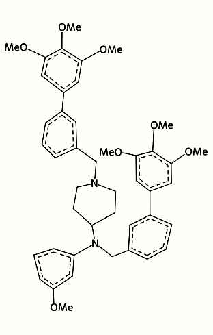 COc1cccc(N(Cc2cccc(-c3cc(OC)c(OC)c(OC)c3)c2)C2CCN(Cc3cccc(-c4cc(OC)c(OC)c(OC)c4)c3)CC2)c1